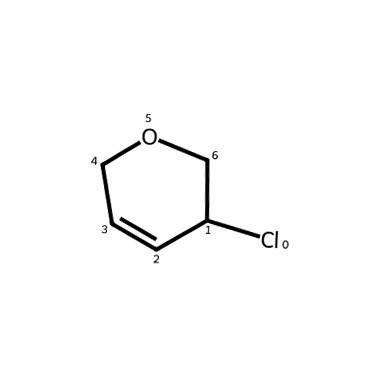 ClC1C=CCOC1